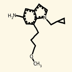 COCCCc1cc(N)cc2ccn(CC3CC3)c12